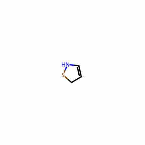 [C]1=CNSC1